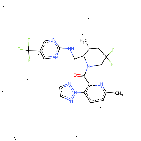 Cc1ccc(-n2nccn2)c(C(=O)N2CC(F)(F)C[C@@H](C)C2CNc2ncc(C(F)(F)F)cn2)n1